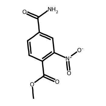 COC(=O)c1ccc(C(N)=O)cc1[N+](=O)[O-]